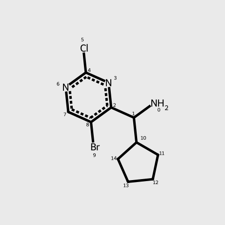 NC(c1nc(Cl)ncc1Br)C1CCCC1